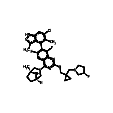 Cc1c(Cl)cc2[nH]nc(C)c2c1-c1c(F)cc2c(N3C[C@H]4CC[C@@](C)(C3)N4)nc(OCC3(CN4CC[C@@H](F)C4)CC3)nc2c1F